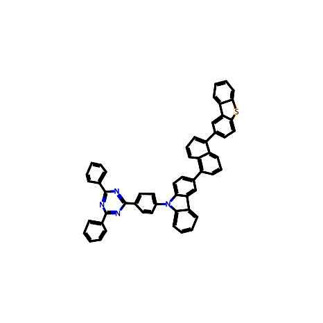 c1ccc(-c2nc(-c3ccccc3)nc(-c3ccc(-n4c5ccccc5c5cc(-c6cccc7c(-c8ccc9sc%10ccccc%10c9c8)cccc67)ccc54)cc3)n2)cc1